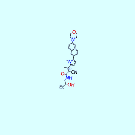 CCC(O)CNC(=O)/C(C#N)=C(\C)c1ccc(-c2ccc3cc(N4CCOCC4)ccc3c2)n1C